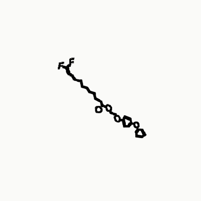 O=C(CCCCCCCCCC=C(F)F)OCCOc1ccc(Oc2ccccc2)cc1